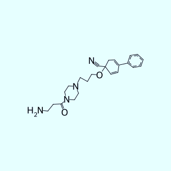 N#CC1(OCCCN2CCN(C(=O)CCN)CC2)C=CC(c2ccccc2)=CC1